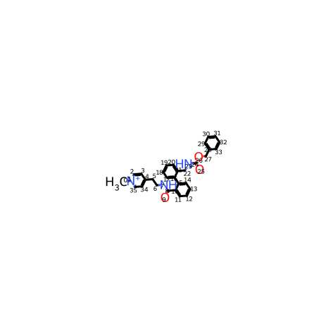 C[n+]1ccc(CCNC(=O)c2ccccc2-c2ccccc2CNC(=O)OCc2ccccc2)cc1